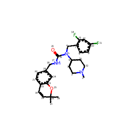 CN1CCC(N(Cc2ccc(F)cc2F)C(=O)NCc2ccc3c(c2)OC(C)(C)C=C3)CC1